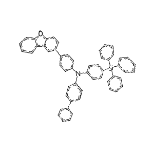 c1ccc(-c2ccc(N(c3ccc(-c4ccc5oc6ccccc6c5c4)cc3)c3ccc([Si](c4ccccc4)(c4ccccc4)c4ccccc4)cc3)cc2)cc1